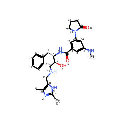 CCNc1cc(C(=O)N[C@@H](Cc2ccccc2)[C@@H](O)CNCc2[nH]c(CC)nc2C)cc(N2CCCC2=O)c1